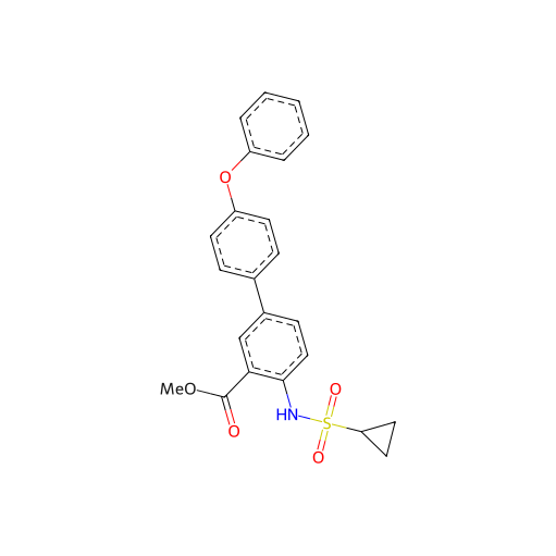 COC(=O)c1cc(-c2ccc(Oc3ccccc3)cc2)ccc1NS(=O)(=O)C1CC1